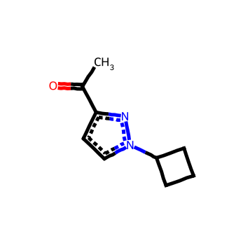 CC(=O)c1ccn(C2CCC2)n1